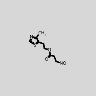 Cc1ncsc1CCOC(=O)CCN=O